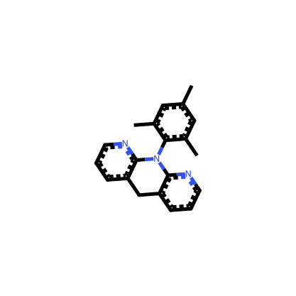 Cc1cc(C)c(N2c3ncccc3Cc3cccnc32)c(C)c1